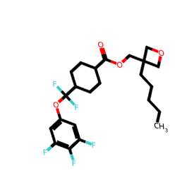 CCCCCC1(COC(=O)C2CCC(C(F)(F)Oc3cc(F)c(F)c(F)c3)CC2)COC1